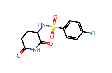 O=C1CCC(NS(=O)(=O)c2ccc(Cl)cc2)C(=O)N1